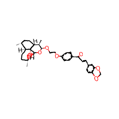 C[C@H]1[C@@H](OCCOc2ccc(C(=O)/C=C/c3ccc4c(c3)OCO4)cc2)O[C@@H]2O[C@]3(C)CC[C@H]4[C@H](C)CC[C@@H]1[C@@]24OO3